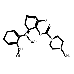 CO/[N+](C1=CCCC=C1NO)=C1/CC=CC(Br)=C1OC(=O)N1CCN(C)CC1